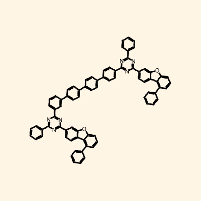 c1ccc(-c2nc(-c3ccc(-c4ccc(-c5ccc(-c6cccc(-c7nc(-c8ccccc8)nc(-c8ccc9c(c8)oc8cccc(-c%10ccccc%10)c89)n7)c6)cc5)cc4)cc3)nc(-c3ccc4c(c3)oc3cccc(-c5ccccc5)c34)n2)cc1